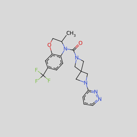 CC1COc2cc(C(F)(F)F)ccc2N1C(=O)N1CC2(C1)CN(c1cccnn1)C2